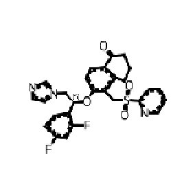 O=C1CCCc2c1ccc(O[C@H](Cn1ccnc1)c1ccc(F)cc1F)c2CS(=O)(=O)c1ccccn1